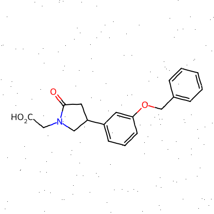 O=C(O)CN1CC(c2cccc(OCc3ccccc3)c2)CC1=O